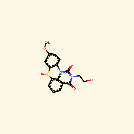 COc1ccc2c(c1)[S+]([O-])c1cccc3c(=O)n(CCO)c(=O)n-2c13